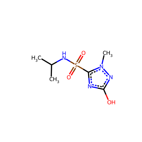 CC(C)NS(=O)(=O)c1nc(O)nn1C